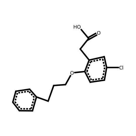 O=C(O)Cc1cc(Cl)ccc1OCCCc1ccccc1